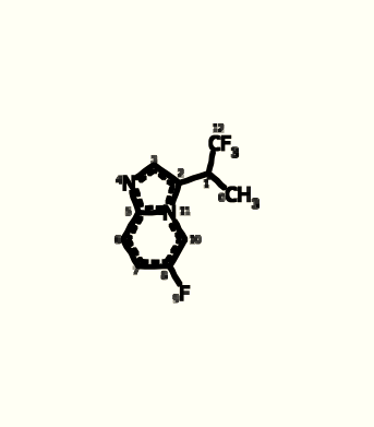 C[C](c1cnc2ccc(F)cn12)C(F)(F)F